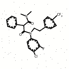 CN(C)C(=O)C(C(=O)N(CCc1ccc(C(F)(F)F)cc1)c1ccc(Cl)c(F)c1)c1ccccc1